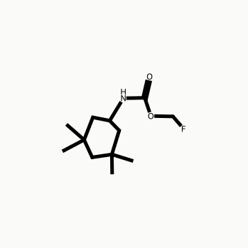 CC1(C)CC(NC(=O)OCF)CC(C)(C)C1